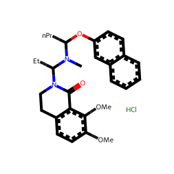 CCCC(Oc1ccc2ccccc2c1)N(C)C(CC)N1CCc2ccc(OC)c(OC)c2C1=O.Cl